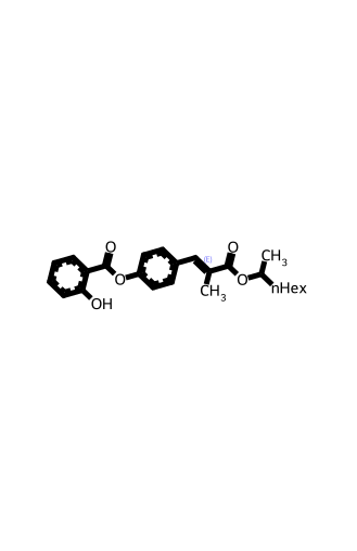 CCCCCCC(C)OC(=O)/C(C)=C/c1ccc(OC(=O)c2ccccc2O)cc1